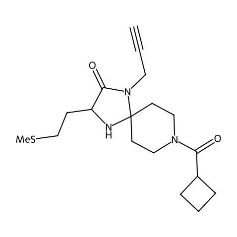 C#CCN1C(=O)C(CCSC)NC12CCN(C(=O)C1CCC1)CC2